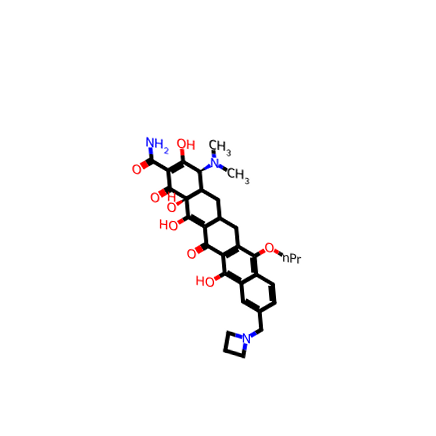 CCCOc1c2c(c(O)c3cc(CN4CCC4)ccc13)C(=O)C1=C(O)[C@]3(O)C(=O)C(C(N)=O)=C(O)[C@@H](N(C)C)C3CC1C2